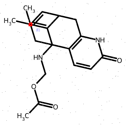 C/C=C1\C2C=C(C)CC1(NCOC(C)=O)c1ccc(=O)[nH]c1C2